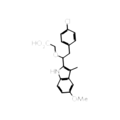 COc1ccc2[nH]c(C(Cc3ccc(Cl)cc3)OCC(=O)O)c(C)c2c1